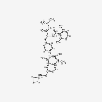 CC(C)OC(=O)[C@H](Cc1ccc(-n2c(=O)c3cc(CNC4CCC4)ccc3n(C)c2=O)cc1)NC(=O)c1c(Cl)cccc1Cl